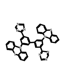 c1ccc2c(c1)Sc1ccccc1N2c1cc(-c2cc(-c3ncncn3)cc(N3c4ccccc4Sc4ccccc43)c2)cc(-c2ncncn2)c1